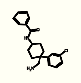 NC[C@]1(c2cccc(Cl)c2)CC[C@H](NC(=O)c2ccccc2)CC1